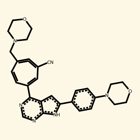 N#CC1=C=C(CN2CCOCC2)C=CC(c2ncnc3[nH]c(-c4ccc(N5CCOCC5)cc4)cc23)=C1